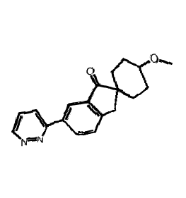 COC1CCC2(CC1)Cc1ccc(-c3cccnn3)cc1C2=O